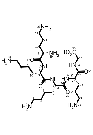 NCCCC[C@H](NC(=O)[C@H](CCCCN)NC(=O)[C@@H](N)CCCN)C(=O)N[C@@H](CCCN)C(=O)NCC(=O)O